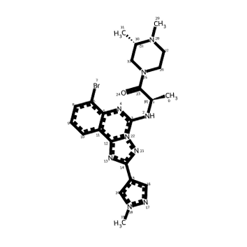 C[C@@H](Nc1nc2c(Br)cccc2c2nc(-c3cnn(C)c3)nn12)C(=O)N1CCN(C)[C@@H](C)C1